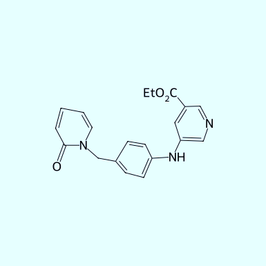 CCOC(=O)c1cncc(Nc2ccc(Cn3ccccc3=O)cc2)c1